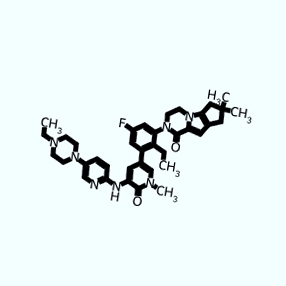 CCc1c(-c2cc(Nc3ccc(N4CCN(CC)CC4)cn3)c(=O)n(C)c2)cc(F)cc1N1CCn2c(cc3c2CC(C)(C)C3)C1=O